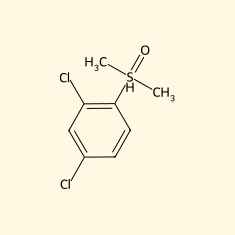 C[SH](C)(=O)c1ccc(Cl)cc1Cl